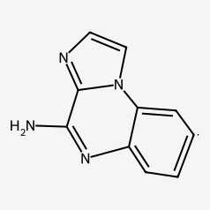 Nc1nc2cc[c]cc2n2ccnc12